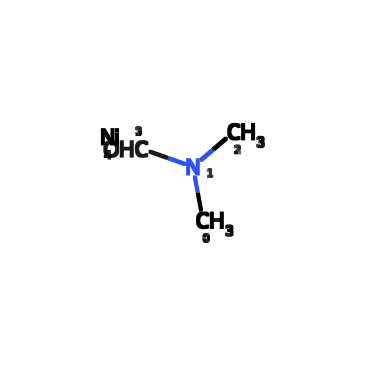 CN(C)C=O.[Ni]